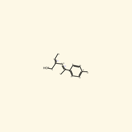 C/C=C(CO)\N=C(/C)c1ccc(C)cc1